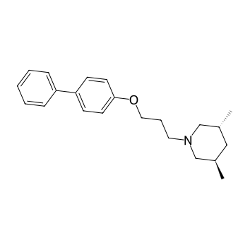 C[C@@H]1C[C@@H](C)CN(CCCOc2ccc(-c3ccccc3)cc2)C1